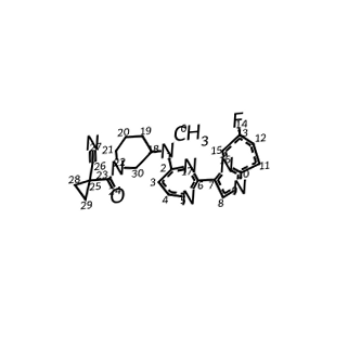 CN(c1ccnc(-c2cnc3ccc(F)cn23)n1)C1CCCN(C(=O)C2(C#N)CC2)C1